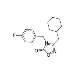 O=c1onc(CC2CCCCC2)n1Cc1ccc(F)cc1